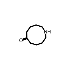 O=C1CCCCNCCCC1